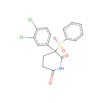 O=C1CCC(c2ccc(Cl)c(Cl)c2)(S(=O)(=O)c2ccccc2)C(=O)N1